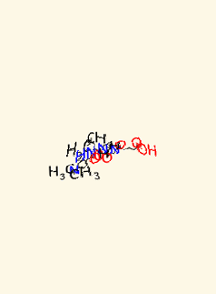 CC(C)C[C@H](NC(=O)c1ccc(N(C)C)cc1)C(=O)N1CC[C@@H]2[C@H]1C(=O)CN2C(=O)CCCC(=O)O